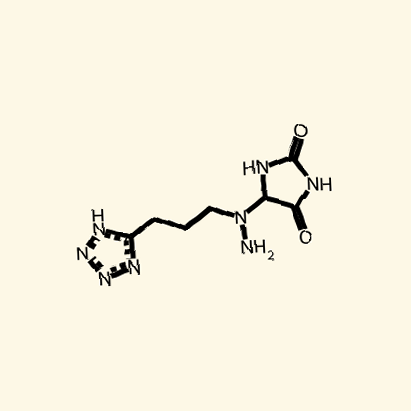 NN(CCCc1nnn[nH]1)C1NC(=O)NC1=O